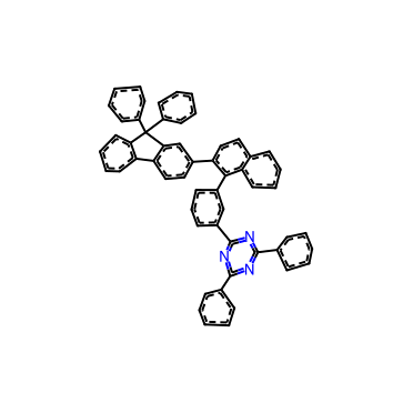 c1ccc(-c2nc(-c3ccccc3)nc(-c3cccc(-c4c(-c5ccc6c(c5)C(c5ccccc5)(c5ccccc5)c5ccccc5-6)ccc5ccccc45)c3)n2)cc1